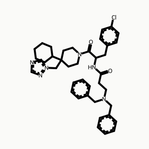 O=C(CCN(Cc1ccccc1)Cc1ccccc1)NC(Cc1ccc(Cl)cc1)C(=O)N1CCC(Cn2cncn2)(C2CCCCC2)CC1